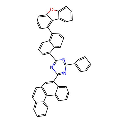 c1ccc(-c2nc(-c3cccc4c(-c5cccc6oc7ccccc7c56)cccc34)nc(-c3cc4ccc5ccccc5c4c4ccccc34)n2)cc1